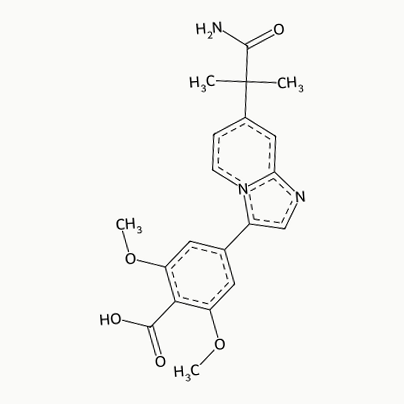 COc1cc(-c2cnc3cc(C(C)(C)C(N)=O)ccn23)cc(OC)c1C(=O)O